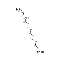 CCCCCCCCCCCCCCCCCCCN/C=C/N